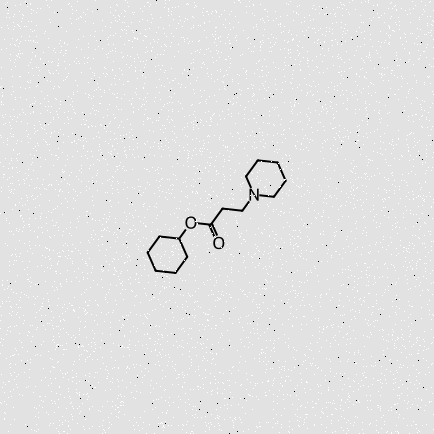 O=C(CCN1CCCCC1)OC1CCCCC1